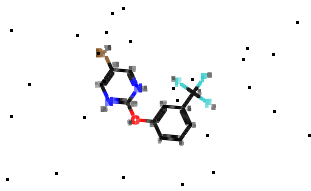 FC(F)(F)c1cccc(Oc2ncc(Br)cn2)c1